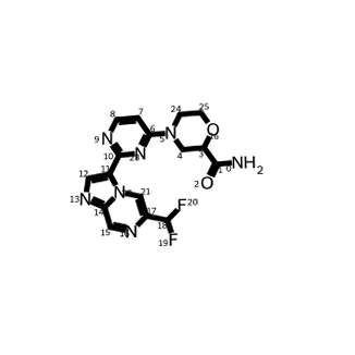 NC(=O)C1CN(c2ccnc(-c3cnc4cnc(C(F)F)cn34)n2)CCO1